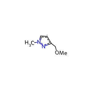 COCc1[c]cn(C)n1